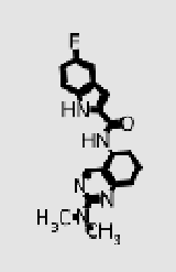 CN(C)c1ncc2c(n1)CCC[C@H]2NC(=O)c1cc2cc(F)ccc2[nH]1